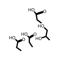 CC(O)CO.CCC(=O)O.CCC(=O)O.CCC(=O)O